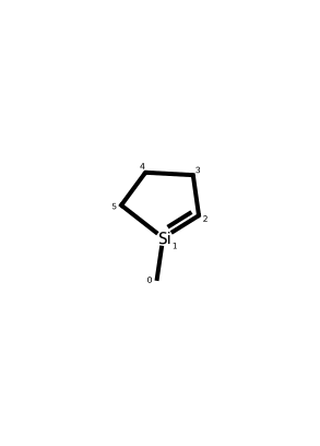 C[Si]1=CCCC1